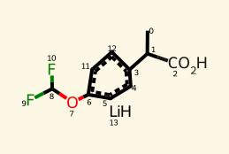 CC(C(=O)O)c1ccc(OC(F)F)cc1.[LiH]